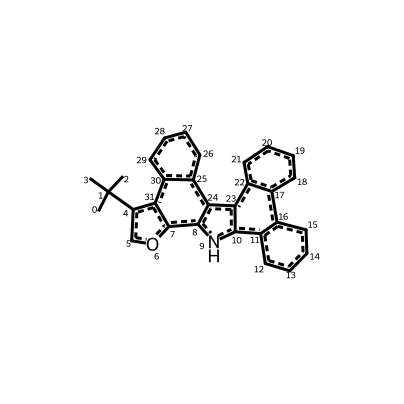 CC(C)(C)c1coc2c3[nH]c4c5ccccc5c5ccccc5c4c3c3ccccc3c12